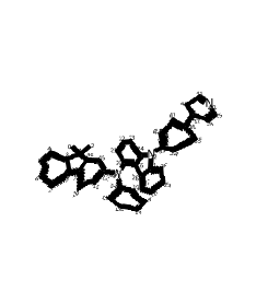 CC1(C)c2ccccc2-c2ccc(N(c3ccccc3)c3cccc4c3c3ccccc3n4-c3ccc(-c4ccncc4)cc3)cc21